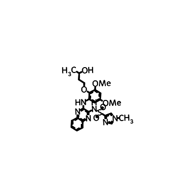 COc1cc(Nc2nc3ccccc3nc2NS(=O)(=O)c2cn(C)cn2)c(OCCC(C)O)c(OC)c1